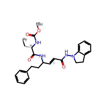 CC(C)C[C@H](NC(=O)OC(C)(C)C)C(=O)NC(/C=C/C(=O)NN1CCc2ccccc21)CCc1ccccc1